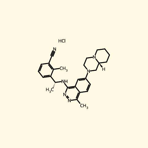 Cc1c(C#N)cccc1[C@@H](C)Nc1nnc(C)c2ccc(N3CCN4CCCC[C@@H]4C3)cc12.Cl